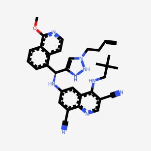 C=CCCN1C=C([C@@H](Nc2cc(C#N)c3ncc(C#N)c(NCC(C)(C)C)c3c2)c2cccc3c(OC)nccc23)NN1